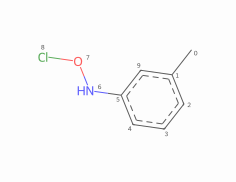 Cc1cccc(NOCl)c1